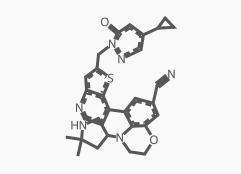 CC1(C)CC(N2CCOc3cc(C#N)cc(-c4ccnc5cc(Cn6ncc(C7CC7)cc6=O)sc45)c32)CN1